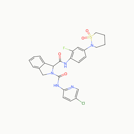 O=C(Nc1ccc(N2CCCCS2(=O)=O)cc1F)C1c2ccccc2CN1C(=O)Nc1ccc(Cl)cn1